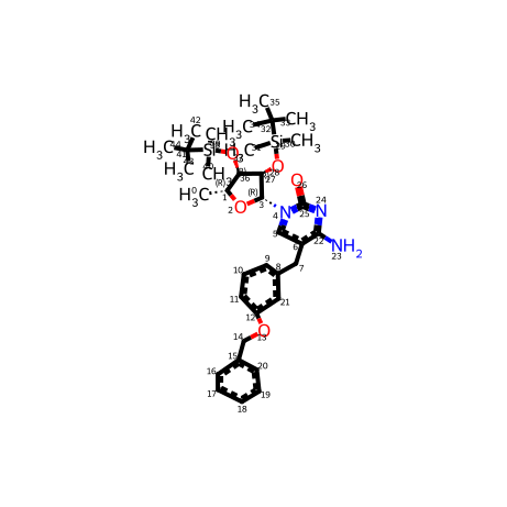 C[C@H]1O[C@@H](n2cc(Cc3cccc(OCc4ccccc4)c3)c(N)nc2=O)[C@H](O[Si](C)(C)C(C)(C)C)[C@@H]1O[Si](C)(C)C(C)(C)C